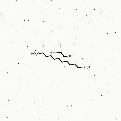 CCCCCCCCCCCCO.O=C(O)CCCCCCCCCCC(=O)O